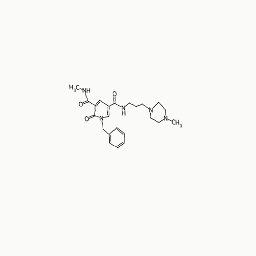 CNC(=O)c1cc(C(=O)NCCCN2CCN(C)CC2)cn(Cc2ccccc2)c1=O